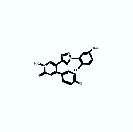 COc1ccc(C(=O)O)c(-n2cc(-c3cn(C)c(=O)cc3-c3ccc(Cl)cc3)cn2)c1